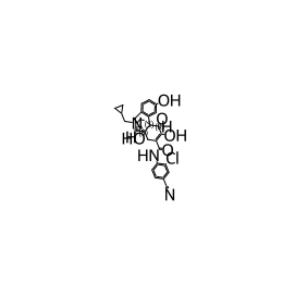 N#Cc1ccc(NC(=O)C2=C(O)[C@@H]3Oc4c(O)ccc5c4[C@@]34CCN(CC3CC3)[C@H](C5)[C@]4(O)C2)c(Cl)c1